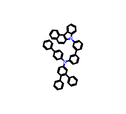 c1ccc(-c2ccc(N(c3cccc(-c4cccc(-n5c6ccccc6c6c7ccccc7ccc65)c4)c3)c3ccc(-c4ccccc4)c(-c4ccccc4)c3)cc2)cc1